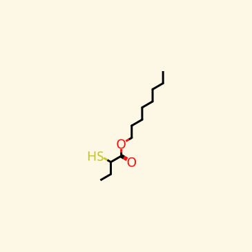 CCCCCCCCOC(=O)C(S)CC